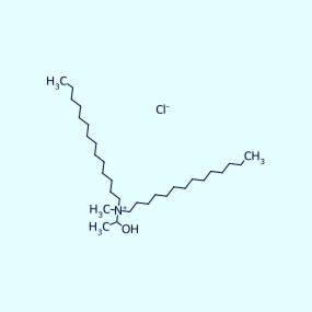 CCCCCCCCCCCCCC[N+](C)(CCCCCCCCCCCCCC)C(C)O.[Cl-]